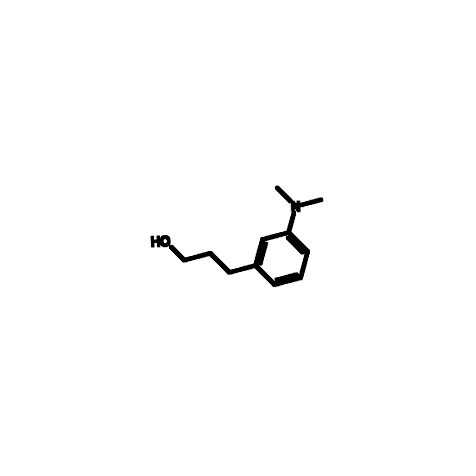 CN(C)c1cccc(CCCO)c1